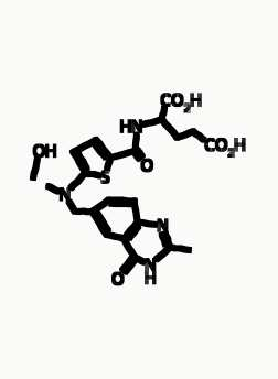 CO.Cc1nc2ccc(CN(C)c3ccc(C(=O)NC(CCC(=O)O)C(=O)O)s3)cc2c(=O)[nH]1